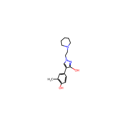 Cc1cc(-c2cn(CCN3CCCCC3)nc2O)ccc1O